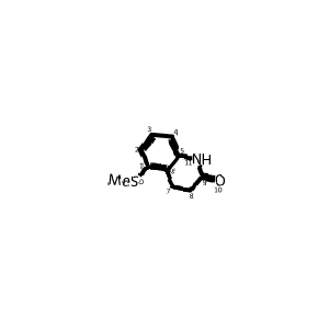 CSc1cccc2c1CCC(=O)N2